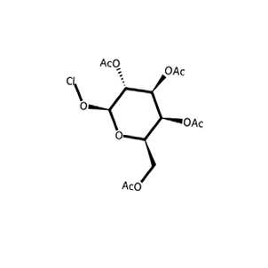 CC(=O)OC[C@H]1O[C@@H](OCl)[C@H](OC(C)=O)[C@@H](OC(C)=O)[C@H]1OC(C)=O